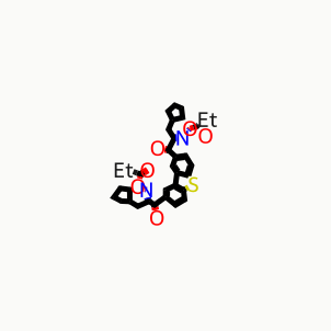 CCC(=O)ON=C(CC1CCCC1)C(=O)c1ccc2sc3ccc(C(=O)C(CC4CCCC4)=NOC(=O)CC)cc3c2c1